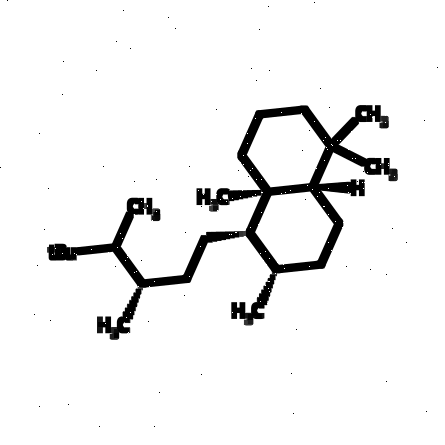 CC([C@@H](C)CC[C@H]1[C@@H](C)CC[C@H]2C(C)(C)CCC[C@]12C)C(C)(C)C